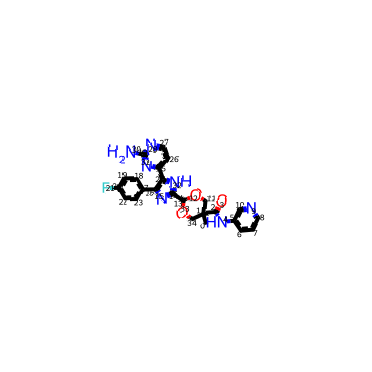 CC1(C(=O)Nc2cccnc2)COC(c2nc(-c3ccc(F)cc3)c(-c3ccnc(N)n3)[nH]2)OC1